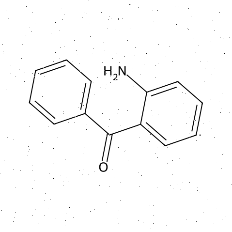 Nc1cc[c]cc1C(=O)c1ccccc1